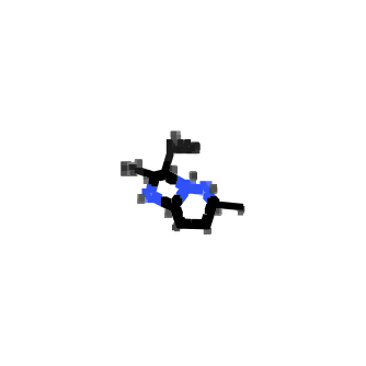 CCc1nc2ccc(C)nn2c1NC